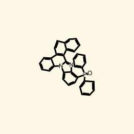 O=P(c1ccccc1)(c1ccccc1)c1cccc2c1nc1c3c4ccccc4ccc3c3ccccc3n21